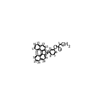 C=CC(=O)Oc1cccc(-n2c3ccc4ccccc4c3c3c4ccccc4ccc32)c1